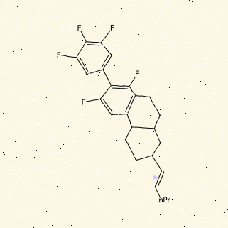 CCC/C=C/C1CCC2c3cc(F)c(-c4cc(F)c(F)c(F)c4)c(F)c3CCC2C1